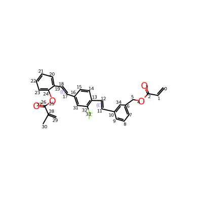 C=CC(=O)OCc1cccc(/C=C/c2ccc(/C=C/c3ccccc3OC(=O)C(=C)C)cc2F)c1